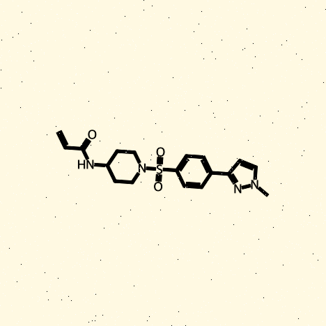 C=CC(=O)NC1CCN(S(=O)(=O)c2ccc(-c3ccn(C)n3)cc2)CC1